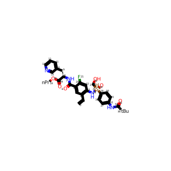 C=Cc1cc(C(=O)N[C@@H](Cc2cccnc2)C(=O)OCCC)c(F)cc1N[SH](=O)(CO)c1ccc(NC(=O)C(C)(C)C)cc1